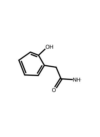 [NH]C(=O)Cc1ccccc1O